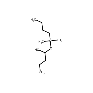 CCCC[Si](C)(C)OC(O)CCC